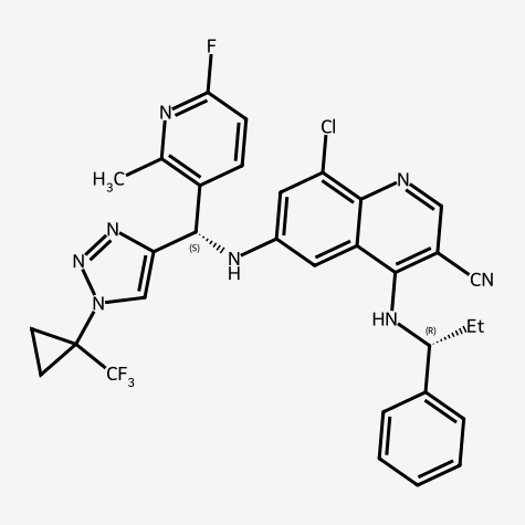 CC[C@@H](Nc1c(C#N)cnc2c(Cl)cc(N[C@H](c3cn(C4(C(F)(F)F)CC4)nn3)c3ccc(F)nc3C)cc12)c1ccccc1